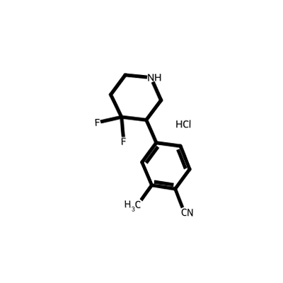 Cc1cc(C2CNCCC2(F)F)ccc1C#N.Cl